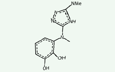 CNc1nnc(N(C)c2cccc(O)c2O)[nH]1